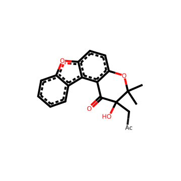 CC(=O)CC1(O)C(=O)c2c(ccc3oc4ccccc4c23)OC1(C)C